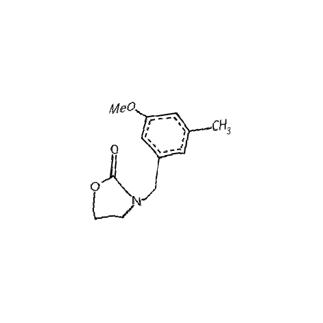 COc1cc(C)cc(CN2CCOC2=O)c1